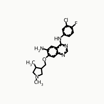 CC1CN(C)CC1COc1cc2ncnc(Nc3ccc(F)c(Cl)c3)c2cc1N